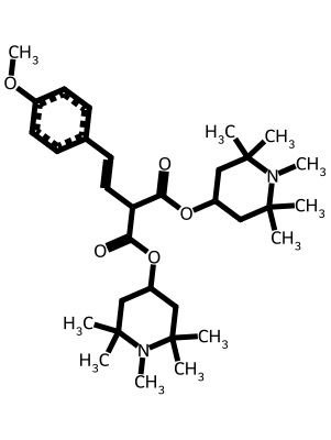 COc1ccc(C=CC(C(=O)OC2CC(C)(C)N(C)C(C)(C)C2)C(=O)OC2CC(C)(C)N(C)C(C)(C)C2)cc1